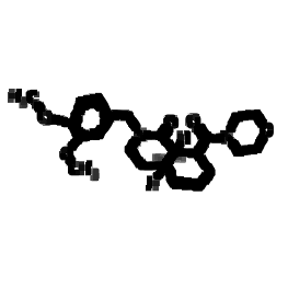 COc1ccc(CN2CC[C@H]3C=CCC(C(=O)N4CCOCC4)[C@H]3C2=O)cc1OC